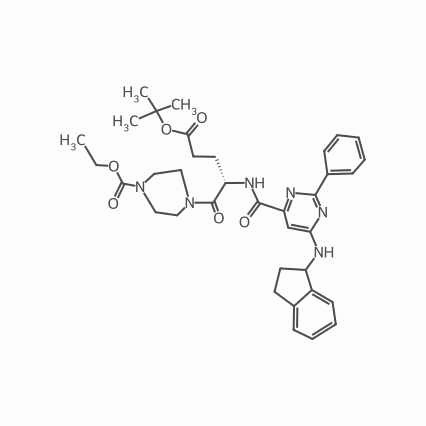 CCOC(=O)N1CCN(C(=O)[C@H](CCC(=O)OC(C)(C)C)NC(=O)c2cc(NC3CCc4ccccc43)nc(-c3ccccc3)n2)CC1